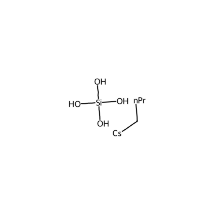 CCC[CH2][Cs].O[Si](O)(O)O